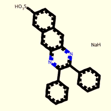 O=S(=O)(O)c1ccc2cc3nc(-c4ccccc4)c(-c4ccccc4)nc3cc2c1.[NaH]